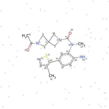 CC(=O)N1CC2(C1)CN(C(=O)N(C)c1cc(-c3sccc3C)ccc1N)C2